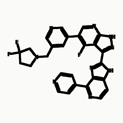 Fc1c(-c2cncc(CN3CCC(F)(F)C3)c2)cnc2[nH]nc(-c3nc4c(-c5ccncc5)nccc4[nH]3)c12